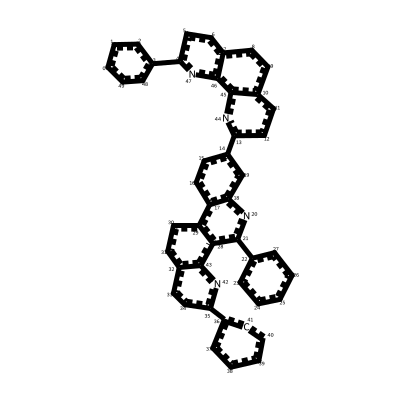 c1ccc(-c2ccc3ccc4ccc(-c5ccc6c(c5)nc(-c5ccccc5)c5c6ccc6ccc(-c7ccccc7)nc65)nc4c3n2)cc1